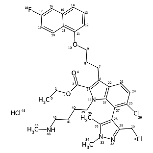 CCOC(=O)c1c(CCCOc2cccc3cc(F)ccc23)c2ccc(Cl)c(-c3c(CCl)nn(C)c3C)c2n1CCCCNC.Cl